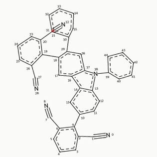 N#Cc1cccc(C#N)c1-c1ccc2c(c1)c1cc(-c3c(C#N)cccc3C#N)c(-c3ccccc3)cc1n2-c1ccccc1